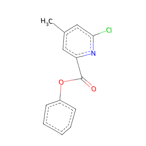 Cc1cc(Cl)nc(C(=O)Oc2ccccc2)c1